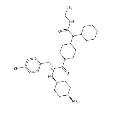 N[C@H]1CC[C@@H](N[C@H](Cc2ccc(Cl)cc2)C(=O)N2CCC(N(C(=O)NCC(F)(F)F)C3CCCCC3)CC2)CC1